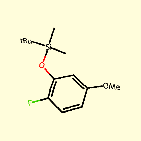 COc1ccc(F)c(O[Si](C)(C)C(C)(C)C)c1